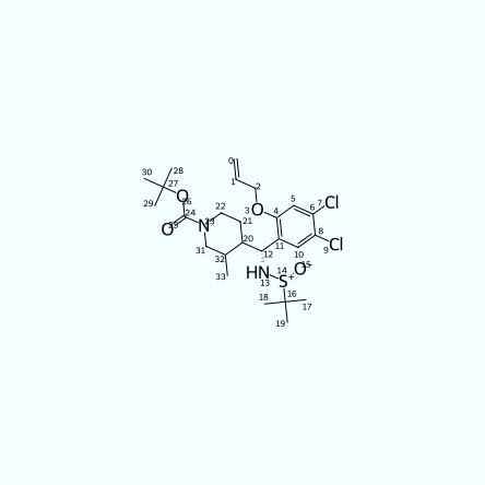 C=CCOc1cc(Cl)c(Cl)cc1[C@H](N[S+]([O-])C(C)(C)C)C1CCN(C(=O)OC(C)(C)C)CC1C